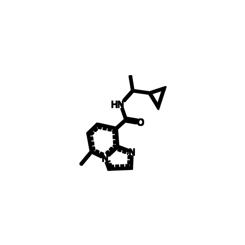 Cc1ccc(C(=O)NC(C)C2CC2)c2nccn12